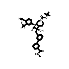 CNC(=O)c1cccc(-c2cccc(CC(O)(C(=O)Nc3ccc(C#N)c(C(F)(F)F)c3)C3CCN(C(=O)OC(C)(C)C)CC3)c2)c1